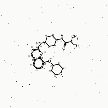 CC(C)C(=O)NC1CCC(Nc2ncc3cccc(OC4CCOCC4)c3n2)CC1